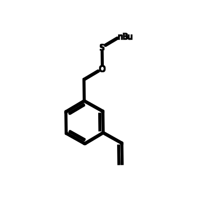 C=Cc1cccc(COSCCCC)c1